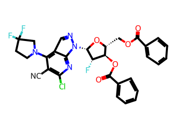 N#Cc1c(Cl)nc2c(cnn2[C@@H]2O[C@H](COC(=O)c3ccccc3)[C@@H](OC(=O)c3ccccc3)[C@@H]2F)c1N1CCC(F)(F)C1